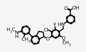 CNc1cccc(-c2cccc3c2CCC3Oc2cc(OC)c(CNc3cccc(C(=O)O)c3)c(F)c2Cl)c1C